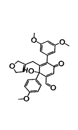 COc1ccc(C2(O)C(C=O)=CC(=O)C(c3cc(OC)cc(OC)c3)=C2CC2=CCOC2)cc1